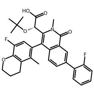 Cc1c(-c2c([C@H](OC(C)(C)C)C(=O)O)n(C)c(=O)c3cc(-c4ccccc4F)ccc23)cc(F)c2c1CCCO2